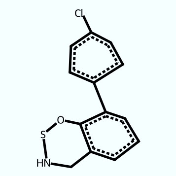 Clc1ccc(-c2cccc3c2OSNC3)cc1